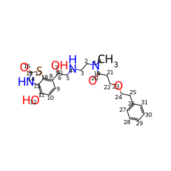 CN(CCNC[C@H](O)c1ccc(O)c2[nH]c(=O)sc12)C(=O)CCOCCc1ccccc1